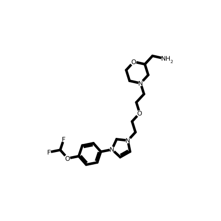 NCC1CN(CCOCCN2C=CN(c3ccc(OC(F)F)cc3)C2)CCO1